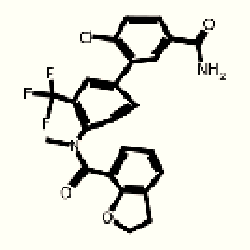 CN(C(=O)c1cccc2c1OCC2)c1ccc(-c2cc(C(N)=O)ccc2Cl)cc1C(F)(F)F